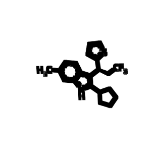 Cc1ccc2c([C@H](CC(F)(F)F)c3cccs3)c(C3CCCC3)[nH]c2c1